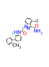 Cc1ccccc1-c1cccc(NC(=O)Cn2nc(C(N)=O)c3c(C4CC4)cccc32)c1F